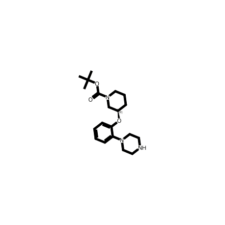 CC(C)(C)OC(=O)N1CCC[C@@H](Oc2ccccc2N2CCNCC2)C1